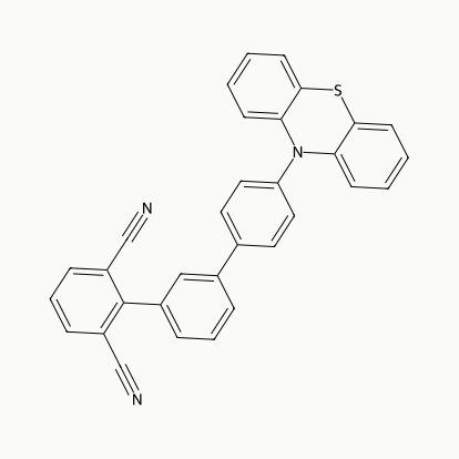 N#Cc1cccc(C#N)c1-c1cccc(-c2ccc(N3c4ccccc4Sc4ccccc43)cc2)c1